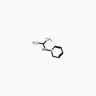 CC(C)NN1C=CC=CC1